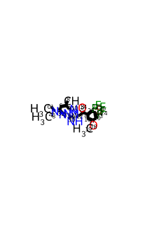 CCN(CC)c1cc(C)c2nn(CC(=O)c3cc(OC)cc(S(F)(F)(F)(F)F)c3)c(=N)n2n1